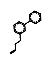 C=CCCc1cccc(-c2ccccc2)c1